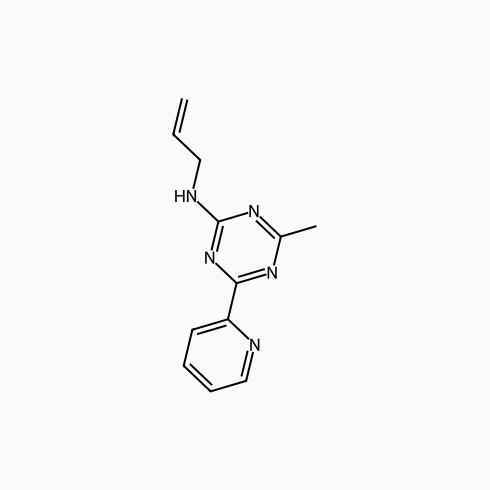 C=CCNc1nc(C)nc(-c2ccccn2)n1